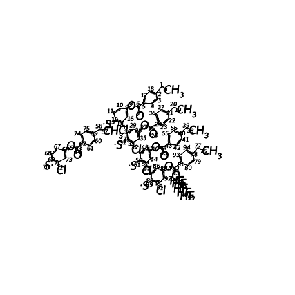 CCc1ccc(C(=O)Oc2ccc([S])c(Cl)c2)cc1.CCc1ccc(C(=O)Oc2ccc([S])c(Cl)c2)cc1.CCc1ccc(C(=O)Oc2ccc([S])c(Cl)c2)cc1.CCc1ccc(C(=O)Oc2ccc([S])c(Cl)c2)cc1.CCc1ccc(C(=O)Oc2ccc([S])c(Cl)c2)cc1.F.F.F.F.F